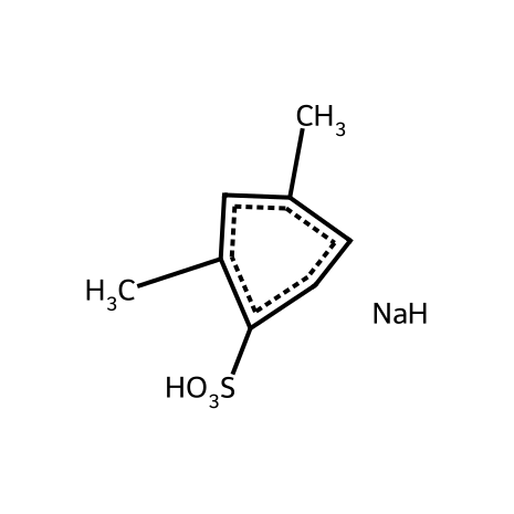 Cc1ccc(S(=O)(=O)O)c(C)c1.[NaH]